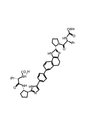 COC(=O)N[C@H](C(=O)N1CCC[C@H]1c1nc2c([nH]1)-c1ccc(-c3ccc(-c4cnc([C@H]5CCC[C@@H]5NC(=O)[C@@H](NC(=O)O)C(C)C)[nH]4)cc3)cc1CC2)C(C)C